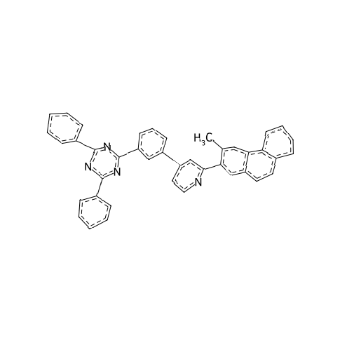 Cc1cc2c(ccc3ccccc32)cc1-c1cc(-c2cccc(-c3nc(-c4ccccc4)nc(-c4ccccc4)n3)c2)ccn1